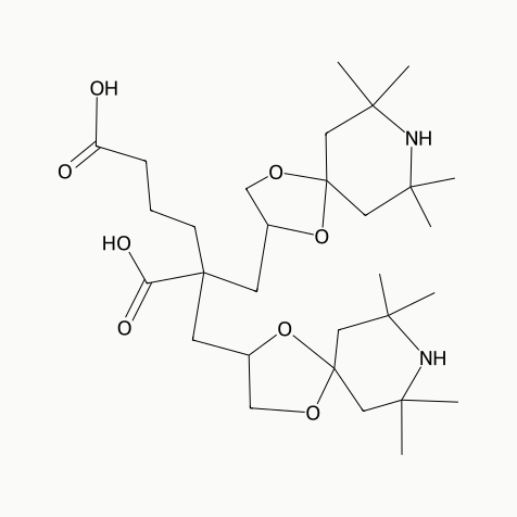 CC1(C)CC2(CC(C)(C)N1)OCC(CC(CCCC(=O)O)(CC1COC3(CC(C)(C)NC(C)(C)C3)O1)C(=O)O)O2